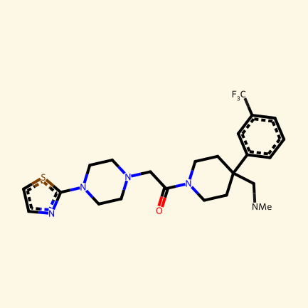 CNCC1(c2cccc(C(F)(F)F)c2)CCN(C(=O)CN2CCN(c3nccs3)CC2)CC1